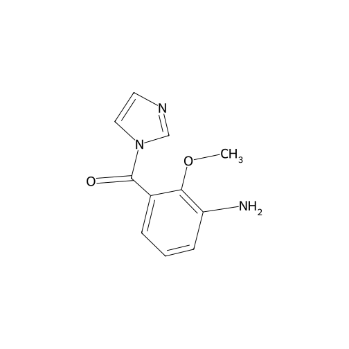 COc1c(N)cccc1C(=O)n1ccnc1